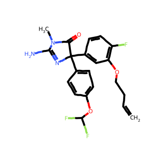 C=CCCOc1cc(C2(c3ccc(OC(F)F)cc3)N=C(N)N(C)C2=O)ccc1F